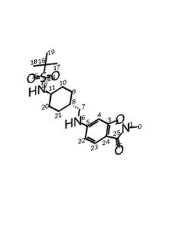 Cn1oc2cc(NC[C@H]3CC[C@H](NS(=O)(=O)C(C)(C)C)CC3)ccc2c1=O